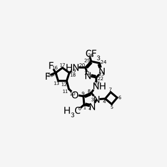 Cc1nn(C2CCC2)c2c1OCC1CC(F)(F)CC1Nc1nc(ncc1C(F)(F)F)N2